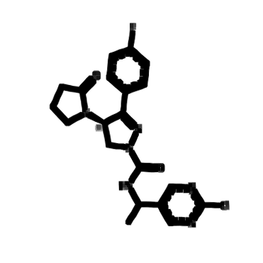 CC(NC(=O)N1C[C@@H](N2CCCC2=O)C(c2ccc(F)cc2)=N1)c1cnc(Cl)nc1